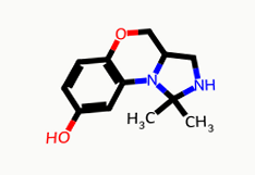 CC1(C)NCC2COc3ccc(O)cc3N21